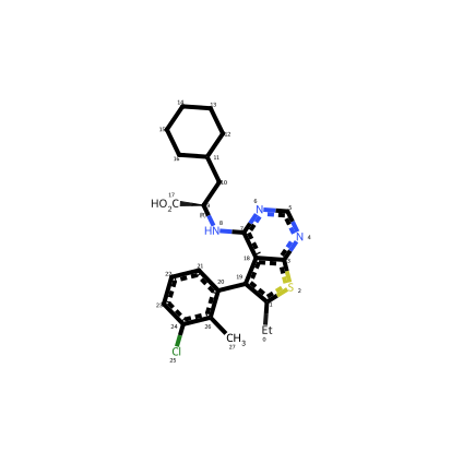 CCc1sc2ncnc(N[C@H](CC3CCCCC3)C(=O)O)c2c1-c1cccc(Cl)c1C